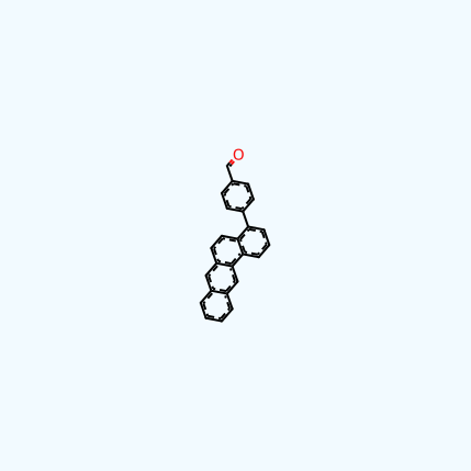 O=Cc1ccc(-c2cccc3c2ccc2cc4ccccc4cc23)cc1